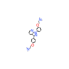 CN(C)CCOc1ccc(-c2nn(-c3cccc(OCCN(C)C)c3)c3ncccc23)cc1